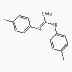 CS/C(=N\c1ccc(C)cc1)Nc1ccc(C)cc1